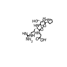 N=C(N)NCCC[C@H](NC(=O)[C@H](CO)NC(=O)[C@@H]1CCCN1)C(=O)NCC(=O)O